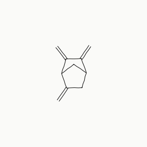 C=C1C(=C)C2CC1CC2=C